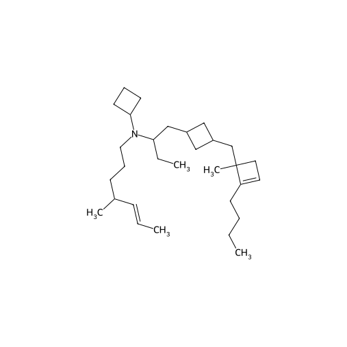 CC=CC(C)CCCN(C1CCC1)C(CC)CC1CC(CC2(C)CC=C2CCCC)C1